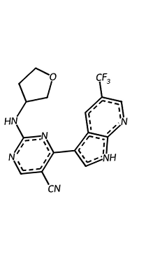 N#Cc1cnc(NC2CCOC2)nc1-c1c[nH]c2ncc(C(F)(F)F)cc12